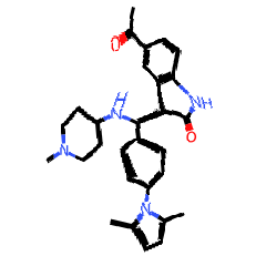 CC(=O)c1ccc2c(c1)C(=C(NC1CCN(C)CC1)c1ccc(-n3c(C)ccc3C)cc1)C(=O)N2